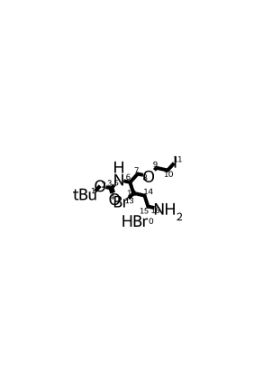 Br.CC(C)(C)OC(=O)NC(COCCI)C(Br)CCN